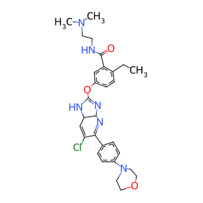 CCc1ccc(OC2=NC3N=C(c4ccc(N5CCOCC5)cc4)C(Cl)=CC3N2)cc1C(=O)NCCN(C)C